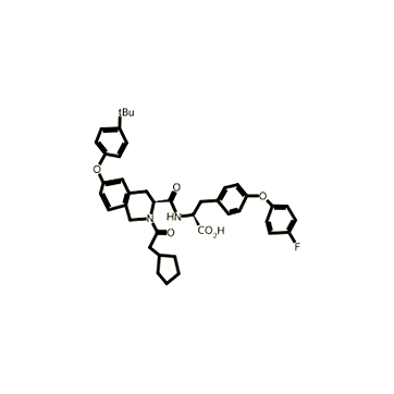 CC(C)(C)c1ccc(Oc2ccc3c(c2)C[C@@H](C(=O)N[C@@H](Cc2ccc(Oc4ccc(F)cc4)cc2)C(=O)O)N(C(=O)CC2CCCC2)C3)cc1